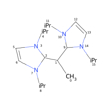 CC(C1N(C(C)C)C=CN1C(C)C)C1N(C(C)C)C=CN1C(C)C